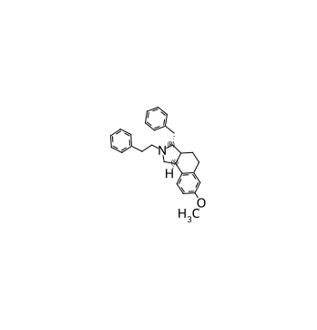 COc1ccc2c(c1)CCC1[C@@H]2CN(CCc2ccccc2)[C@@H]1Cc1ccccc1